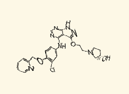 O[C@H]1CCN(CCOc2n[nH]c3ncnc(Nc4ccc(OCc5ccccn5)c(Cl)c4)c23)C1